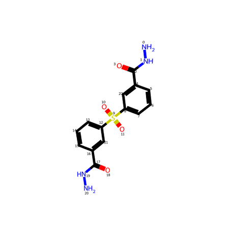 NNC(=O)c1cccc(S(=O)(=O)c2cccc(C(=O)NN)c2)c1